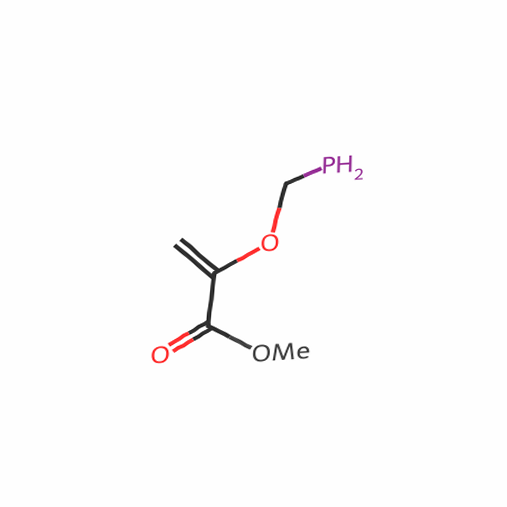 C=C(OCP)C(=O)OC